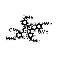 COc1ccc(C(C=Cc2c(OC)cc(OC)cc2OC)S(=O)(=O)C(C=Cc2c(OC)cc(OC)cc2OC)c2ccc(OC)cc2)cc1